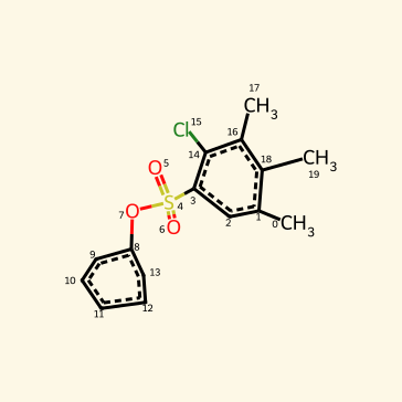 Cc1cc(S(=O)(=O)Oc2ccccc2)c(Cl)c(C)c1C